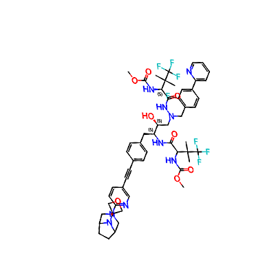 COC(=O)NC(C(=O)N[C@@H](Cc1ccc(C#Cc2ccc(N3CC4CCC(C3)N4C3COC3)nc2)cc1)[C@@H](O)CN(Cc1ccc(-c2ccccn2)cc1F)NC(=O)[C@@H](NC(=O)OC)C(C)(C)C(F)(F)F)C(C)(C)C(F)(F)F